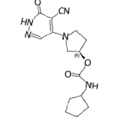 N#Cc1c(N2CC[C@@H](OC(=O)NC3CCCC3)C2)cn[nH]c1=O